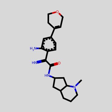 CN1CCCC2CC(NC(=O)C(=N)c3ccc(C4=CCOCC4)cc3N)CC21